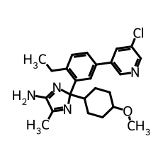 CCc1ccc(-c2cncc(Cl)c2)cc1C1(C2CCC(OC)CC2)N=C(C)C(N)=N1